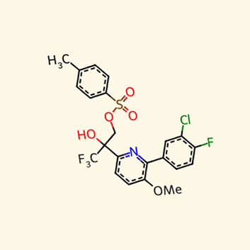 COc1ccc(C(O)(COS(=O)(=O)c2ccc(C)cc2)C(F)(F)F)nc1-c1ccc(F)c(Cl)c1